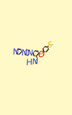 CNCc1cc(N2CCN(c3ccncc3)CC2)ccc1Oc1ccc(SC)cc1